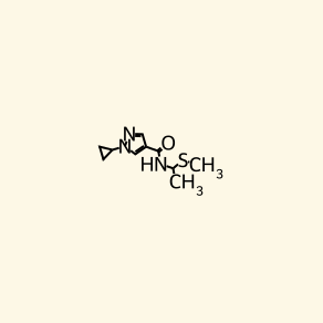 CSC(C)NC(=O)c1cnn(C2CC2)c1